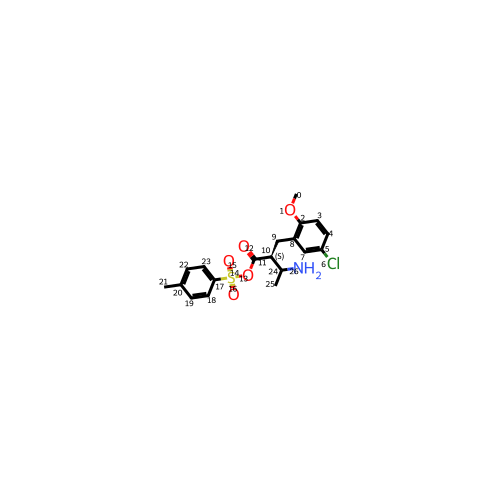 COc1ccc(Cl)cc1C[C@H](C(=O)OS(=O)(=O)c1ccc(C)cc1)C(C)N